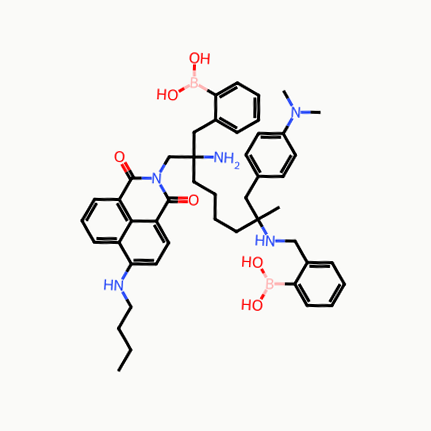 CCCCNc1ccc2c3c(cccc13)C(=O)N(CC(N)(CCCCC(C)(Cc1ccc(N(C)C)cc1)NCc1ccccc1B(O)O)Cc1ccccc1B(O)O)C2=O